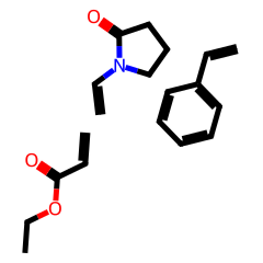 C=CC(=O)OCC.C=CN1CCCC1=O.C=Cc1ccccc1